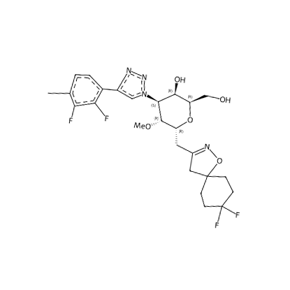 CO[C@@H]1[C@@H](n2cc(-c3ccc(C)c(F)c3F)nn2)[C@@H](O)[C@@H](CO)O[C@@H]1CC1=NOC2(CCC(F)(F)CC2)C1